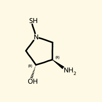 N[C@@H]1CN(S)C[C@H]1O